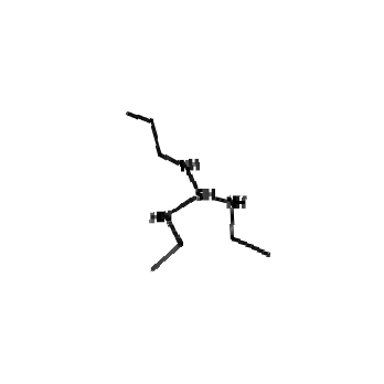 CCCN[SiH](NCC)NCC